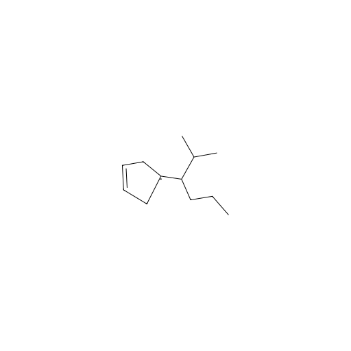 CCCC([C]1CC=CC1)C(C)C